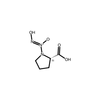 [O][N+](=NO)N1CCC[C@H]1C(=O)O